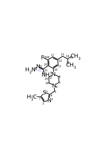 Cc1cnc(CN2CCN(c3cc(CC(C)C)cc(F)c3/C(N)=N/N)CC2)s1